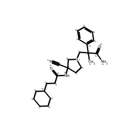 CC(CN1CCC(C#N)(NC(=O)[CH]CC2CCCCC2)C1)(C(N)=O)c1ccccc1